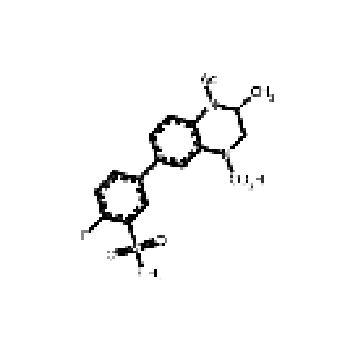 CC(=O)N1c2ccc(-c3ccc(F)c(S(C)(=O)=O)c3)cc2N(C(=O)O)C[C@@H]1C